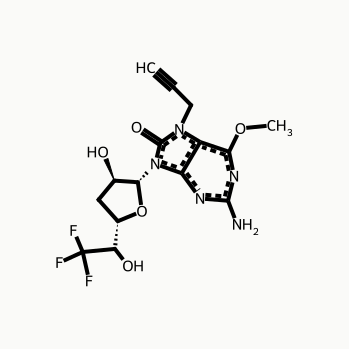 C#CCn1c(=O)n([C@@H]2O[C@H](C(O)C(F)(F)F)C[C@H]2O)c2nc(N)nc(OC)c21